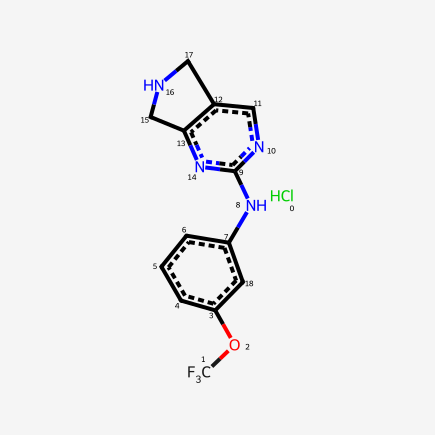 Cl.FC(F)(F)Oc1cccc(Nc2ncc3c(n2)CNC3)c1